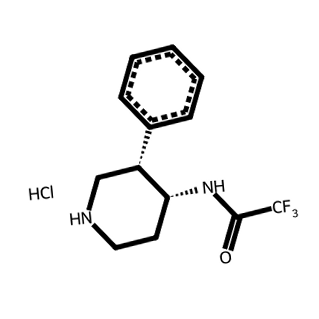 Cl.O=C(N[C@@H]1CCNC[C@@H]1c1ccccc1)C(F)(F)F